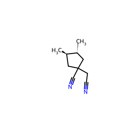 C[C@@H]1CC(C#N)(CC#N)C[C@H]1C